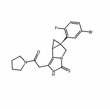 O=C(Cc1[nH]c(=S)n2c1C1C[C@]1(c1cc(Br)ccc1F)C2)N1CCCC1